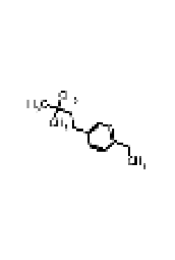 CCc1ccc(CCC(C)(C)C)cn1